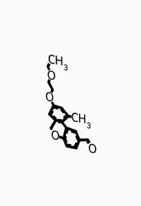 CCOCCOc1cc(C)c2c(c1)COc1ccc(C=O)cc1-2